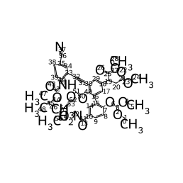 CCOC(OC)Oc1ccc(C(N)=O)cc1-c1cc(C(CC(=O)OC)C(=O)OC)cc(C#Cc2cc(C#N)ccc2NC(=O)OC(C)(C)C)c1OCOCCOC